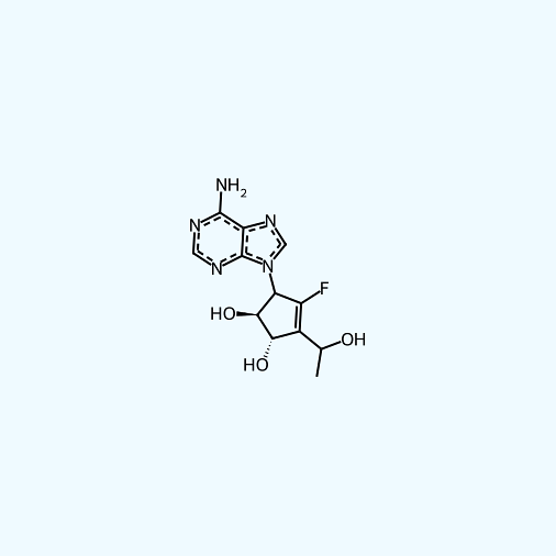 CC(O)C1=C(F)C(n2cnc3c(N)ncnc32)[C@H](O)[C@H]1O